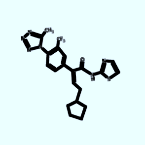 Cc1nnnn1-c1ccc(C(=CCC2CCCC2)C(=O)Nc2nccs2)cc1C(F)(F)F